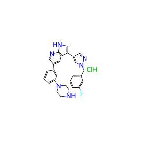 Cl.Fc1cccc(Cn2cc(-c3c[nH]c4ncc(-c5cccc(N6CCNCC6)c5)cc34)cn2)c1